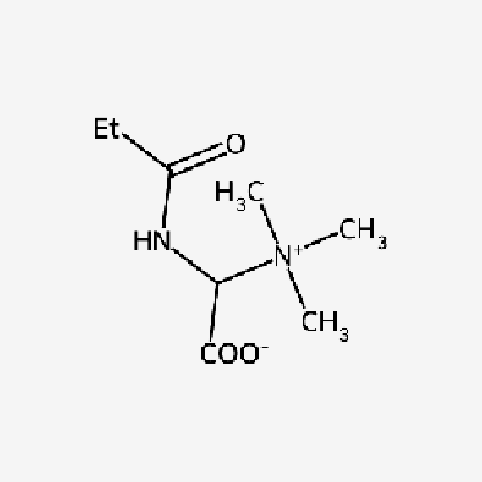 CCC(=O)NC(C(=O)[O-])[N+](C)(C)C